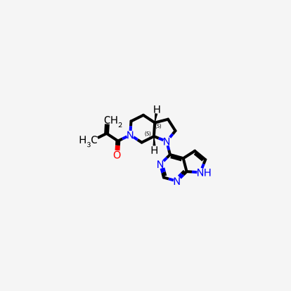 C=C(C)C(=O)N1CC[C@@H]2CCN(c3ncnc4[nH]ccc34)[C@@H]2C1